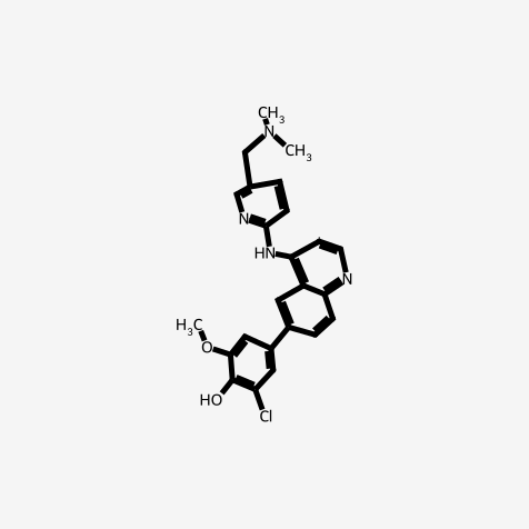 COc1cc(-c2ccc3nc[c]c(Nc4ccc(CN(C)C)cn4)c3c2)cc(Cl)c1O